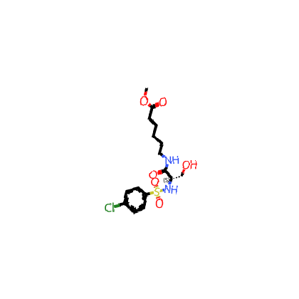 COC(=O)CCCCCNC(=O)[C@H](CO)NS(=O)(=O)c1ccc(Cl)cc1